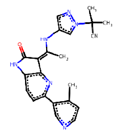 C/C(Nc1cnn(C(C)(C)C#N)c1)=C1/C(=O)Nc2ccc(-c3cnccc3C)nc21